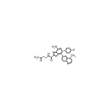 CNCCNC(=O)c1cn2c(-c3ccc4nccc(C)c4c3)c(-c3ccc(F)cc3)nc(N)c2n1